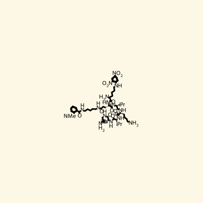 CCC(C)[C@H](NC(=O)[C@@H](NC(=O)[C@H](CCCCN)NC(=O)[C@@H](NC(=O)[C@H](CCC(=O)NCCCCCNC(=O)c1ccccc1NC)NC(=O)[C@@H](N)CCCCNc1ccc([N+](=O)[O-])cc1[N+](=O)[O-])C(C)C)C(C)C)C(=O)NCC(N)=O